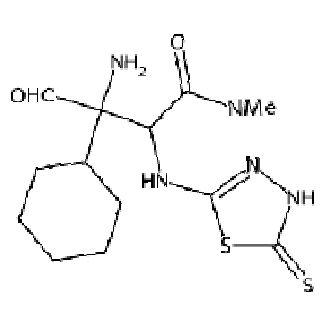 CNC(=O)C(Nc1n[nH]c(=S)s1)C(N)(C=O)C1CCCCC1